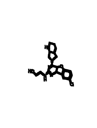 OCCNC1=NC2c3cc(Cl)ccc3OC2C(N2CC3CCCNC3C2)=N1